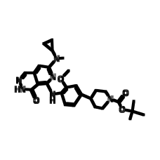 COc1cc(C2CCN(C(=O)OC(C)(C)C)CC2)ccc1Nc1nc(N(C)C2CC2)cc2cn[nH]c(=O)c12